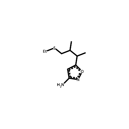 CCSCC(C)C(C)c1cc(N)no1